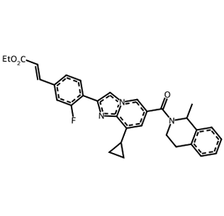 CCOC(=O)/C=C/c1ccc(-c2cn3cc(C(=O)N4CCc5ccccc5C4C)cc(C4CC4)c3n2)c(F)c1